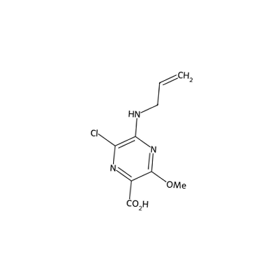 C=CCNc1nc(OC)c(C(=O)O)nc1Cl